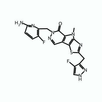 Cn1c2nc(Cc3n[nH]cc3F)sc2c2cnn(Cc3nc(N)ccc3F)c(=O)c21